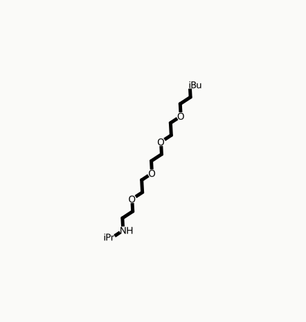 CCC(C)CCOCCOCCOCCOCCNC(C)C